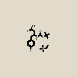 CC(C)(C)OC(=O)NC(CC(=O)O)Cc1ccc(I)cc1.CC[Si](C)(C)C